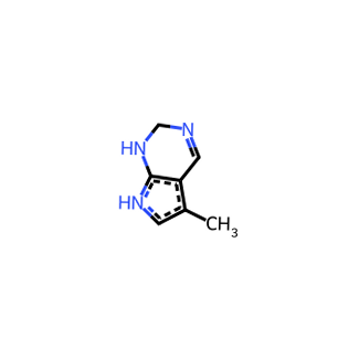 Cc1c[nH]c2c1C=NCN2